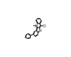 Cn1c2c3cc(-c4ccccc4)ccc3nc-2c(Cl)c2ccccc21